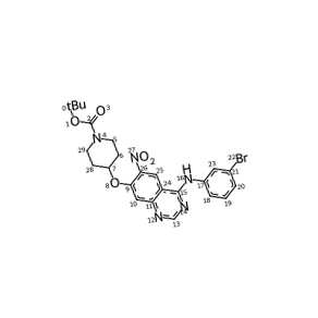 CC(C)(C)OC(=O)N1CCC(Oc2cc3ncnc(Nc4cccc(Br)c4)c3cc2[N+](=O)[O-])CC1